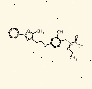 CCO[C@H](Cc1ccc(OCCc2nc(-c3ccccc3)oc2C)cc1C)C(=O)O